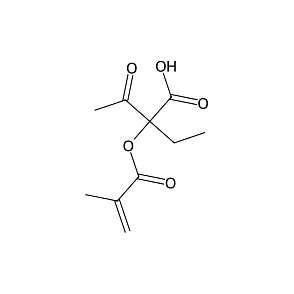 C=C(C)C(=O)OC(CC)(C(C)=O)C(=O)O